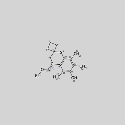 CCO/N=C1\CC2(CCC2)Sc2c(C)c(C)c(O)c(C)c21